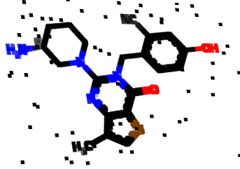 Cc1csc2c(=O)n(Cc3ccc(O)cc3C#N)c(N3CCC[C@@H](N)C3)nc12